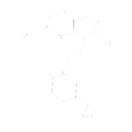 COc1cnc2ccc(Cl)c(C(O)CN3CCCC(CN)C3)c2n1